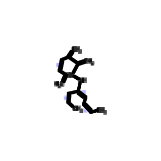 C=C/C=C\C(=C)C(=C)NNC(/C=C\C)=C/C=C\C